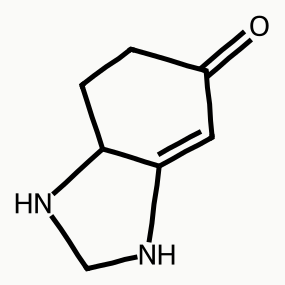 O=C1C=C2NCNC2CC1